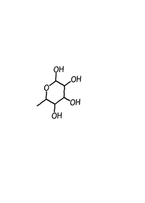 CC1OC(O)C(O)C(O)C1O